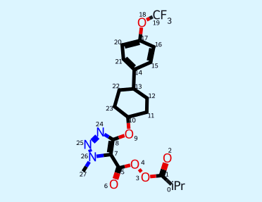 CC(C)C(=O)OOC(=O)c1c(OC2CCC(c3ccc(OC(F)(F)F)cc3)CC2)nnn1C